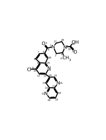 CC1CN(C(=O)c2ccc3c(Cl)cc(-c4cnc5cccnc5c4)nc3c2)CCN1C(=O)O